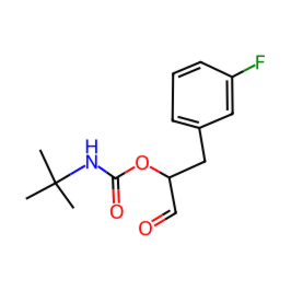 CC(C)(C)NC(=O)OC(C=O)Cc1cccc(F)c1